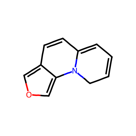 C1=CCN2C(=C1)C=Cc1cocc12